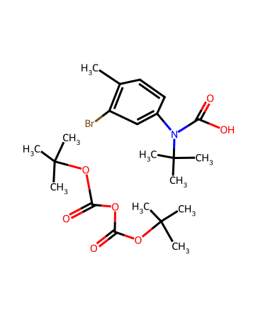 CC(C)(C)OC(=O)OC(=O)OC(C)(C)C.Cc1ccc(N(C(=O)O)C(C)(C)C)cc1Br